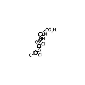 O=C(O)Cn1ncc2c1CCC[C@H]2NCS(=O)(=O)c1ccc(Oc2ccc(Cl)cc2Cl)cc1Cl